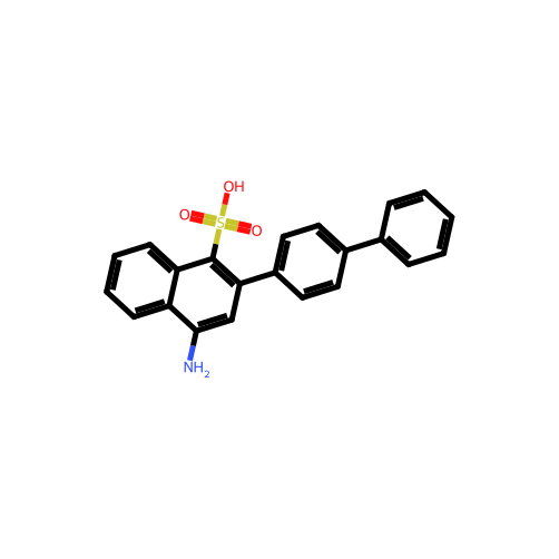 Nc1cc(-c2ccc(-c3ccccc3)cc2)c(S(=O)(=O)O)c2ccccc12